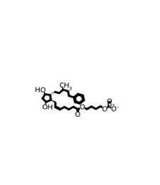 C[C@@H](CCc1ccccc1)CC[C@@H]1[C@@H](C/C=C\CCCC(=O)OCCCCO[N+](=O)[O-])[C@@H](O)C[C@H]1O